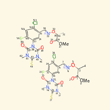 COC(=O)C(C)O/N=C/c1cc(-n2c(=O)n(C)c(=S)n(C)c2=O)c(F)cc1Cl.COC(=O)[C@@H](C)O/N=C/c1cc(-n2c(=O)n(C)c(=S)n(C)c2=O)c(F)cc1Cl